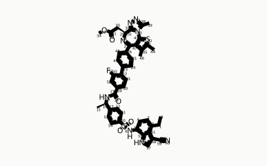 CCc1ccc(NS(=O)(=O)c2ccc([C@@H](C)NC(=O)c3ccc(-c4ccc(C5=N[C@@H](CC(=O)OC)c6nnc(C)n6-c6sc(C)c(C)c65)cc4)c(F)c3)cc2)c2[nH]cc(C#N)c12